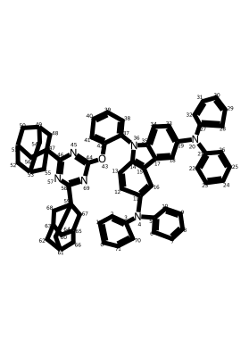 c1ccc(N(c2ccccc2)c2ccc3c(c2)c2cc(N(c4ccccc4)c4ccccc4)ccc2n3-c2ccccc2Oc2nc(C34CC5CC(CC(C5)C3)C4)nc(C34CC5CC(CC(C5)C3)C4)n2)cc1